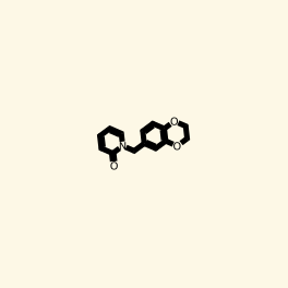 O=c1ccccn1Cc1ccc2c(c1)OCCO2